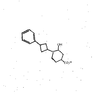 O=C(O)C1CCN(C2CC(c3ccccc3)C2)C(O)C1